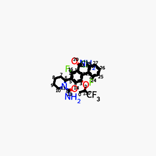 CC(Oc1cc(C2CCCCN2C(N)=O)c(F)c(C(N)=O)c1-c1c(F)cccc1Cl)C(F)(F)F